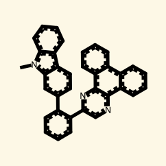 Cn1c2ccccc2c2ccc(-c3ccccc3-c3cnc4c5ccccc5c5ccccc5c4n3)cc21